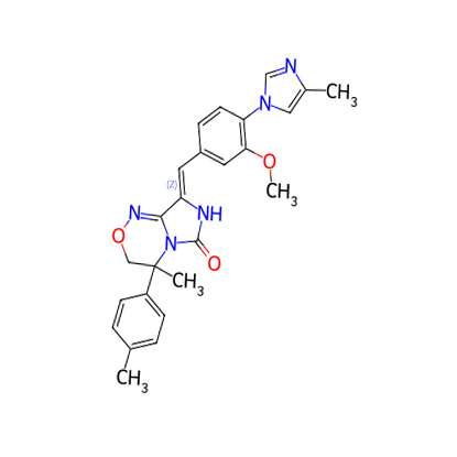 COc1cc(/C=c2\[nH]c(=O)n3c2=NOCC3(C)c2ccc(C)cc2)ccc1-n1cnc(C)c1